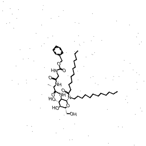 CCCCCCCCCCCCN(C(=O)CCCCCCCCCCC)[C@@H]1O[C@H](CO)[C@@H](O)[C@H](O)[C@H]1NC(=O)[C@H](C)NC(=O)CNC(=O)OCc1ccccc1